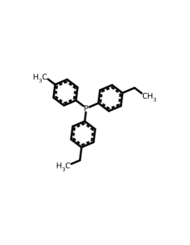 CCc1ccc(P(c2ccc(C)cc2)c2ccc(CC)cc2)cc1